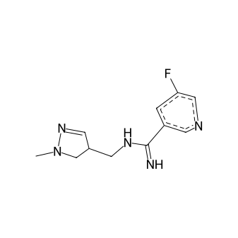 CN1CC(CNC(=N)c2cncc(F)c2)C=N1